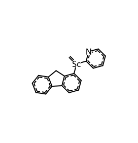 [CH2]=[Sc]([c]1ccccn1)[c]1cccc2c1Cc1ccccc1-2